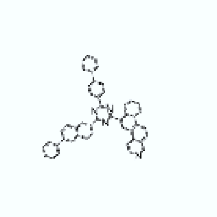 c1ccc(-c2ccc(-c3nc(-c4ccc5cc(-c6ccccc6)ccc5c4)nc(-c4cc5c6ccncc6ccc5c5ccccc45)n3)cc2)cc1